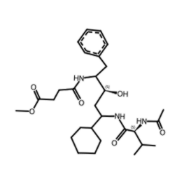 COC(=O)CCC(=O)NC(Cc1ccccc1)[C@@H](O)CC(NC(=O)[C@@H](NC(C)=O)C(C)C)C1CCCCC1